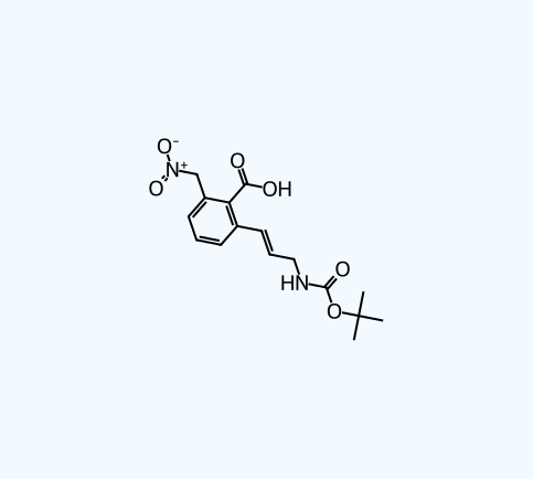 CC(C)(C)OC(=O)NCC=Cc1cccc(C[N+](=O)[O-])c1C(=O)O